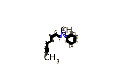 CC#CCC/C=C\CN(C)c1ccccc1